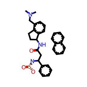 CN(C)Cc1cccc2c1CCC2NC(=O)CC(N=S(=O)=O)c1ccccc1.c1ccc2ccccc2c1